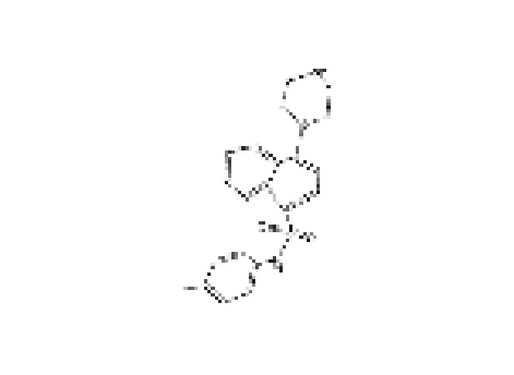 Cc1ccc(NS(=O)(=O)c2ccc(N3CCNCC3)c3ccccc23)cc1